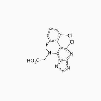 CN(CC(=O)O)c1c(-c2c(F)cccc2Cl)c(Cl)nc2ncnn12